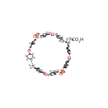 CC1(C)c2ccc(cc2)Oc2ccc(cc2)S(=O)(=O)c2ccc(cc2)Oc2ccc(cc2)C(C)(CCC(=O)O)c2ccc(cc2)Oc2ccc(cc2)S(=O)(=O)c2ccc(cc2)Oc2ccc1cc2